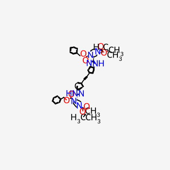 CC(C)(C)OC(=O)N1CCN(C(=O)OCc2ccccc2)[C@H](c2nc3cc(C#Cc4ccc5[nH]c([C@@H]6CN(C(=O)OC(C)(C)C)CCN6C(=O)OCc6ccccc6)nc5c4)ccc3[nH]2)C1